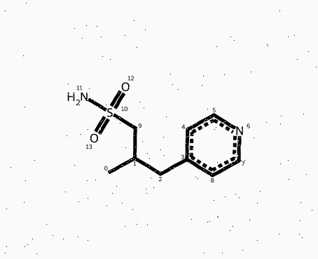 CC(Cc1ccncc1)CS(N)(=O)=O